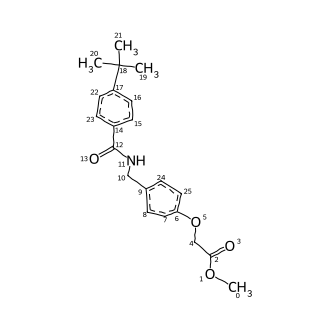 COC(=O)COc1ccc(CNC(=O)c2ccc(C(C)(C)C)cc2)cc1